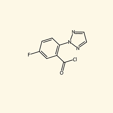 O=C(Cl)c1cc(F)ccc1-n1nccn1